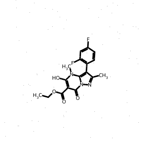 CCOC(=O)c1c(O)n(C)c2c(-c3ccc(F)cc3F)c(C)nn2c1=O